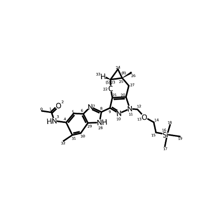 CC(=O)Nc1cc2nc(-c3nn(COCC[Si](C)(C)C)c4c3C[C@@H]3C[C@]3(C)C4)[nH]c2cc1C